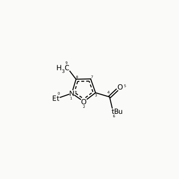 CC[n+]1oc(C(=O)C(C)(C)C)cc1C